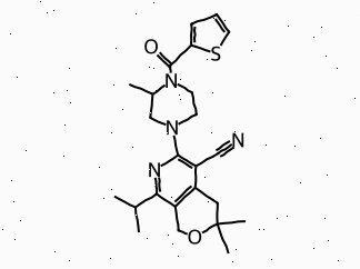 CC(C)c1nc(N2CCN(C(=O)c3cccs3)C(C)C2)c(C#N)c2c1COC(C)(C)C2